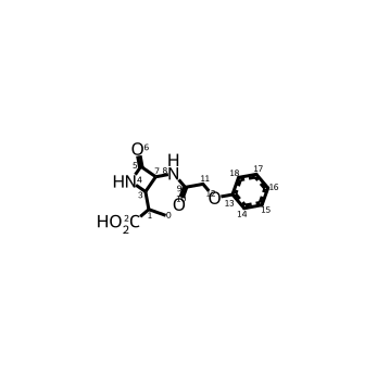 CC(C(=O)O)C1NC(=O)C1NC(=O)COc1ccccc1